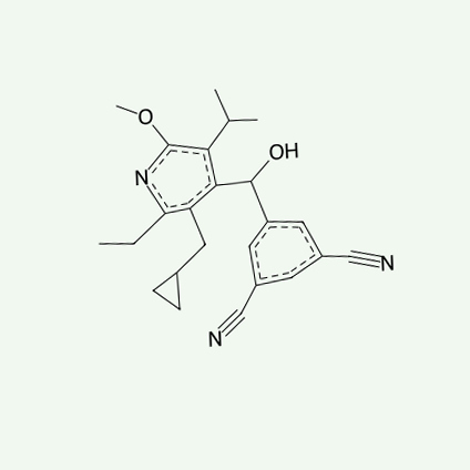 CCc1nc(OC)c(C(C)C)c(C(O)c2cc(C#N)cc(C#N)c2)c1CC1CC1